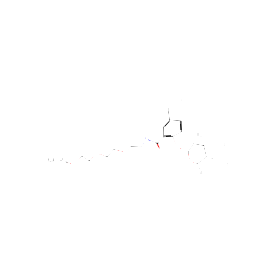 CNOCCOCCOCCNC(=O)c1cc(COC(C)=O)ccc1O[C@@H]1O[C@H](C(C)=O)[C@@H](C)[C@H](C)[C@H]1OC(C)=O